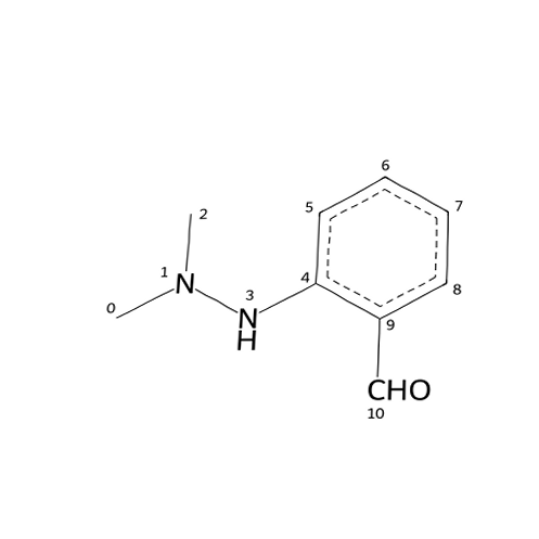 CN(C)Nc1ccccc1C=O